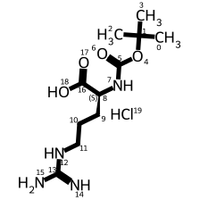 CC(C)(C)OC(=O)N[C@@H](CCCNC(=N)N)C(=O)O.Cl